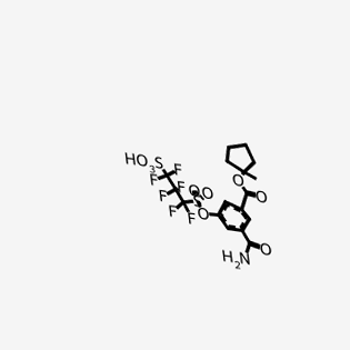 CC1(OC(=O)c2cc(OS(=O)(=O)C(F)(F)C(F)(F)C(F)(F)S(=O)(=O)O)cc(C(N)=O)c2)CCCC1